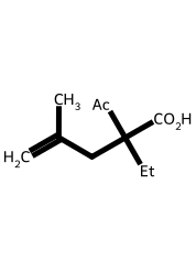 C=C(C)CC(CC)(C(C)=O)C(=O)O